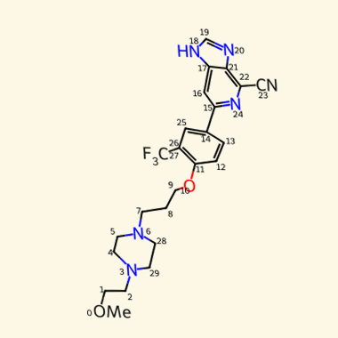 COCCN1CCN(CCCOc2ccc(-c3cc4[nH]cnc4c(C#N)n3)cc2C(F)(F)F)CC1